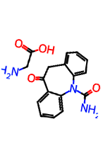 NC(=O)N1c2ccccc2CC(=O)c2ccccc21.NCC(=O)O